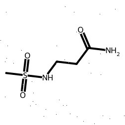 CS(=O)(=O)NCCC(N)=O